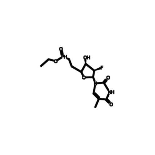 CCO[PH](=O)CCC1OC(n2cc(C)c(=O)[nH]c2=O)[C@H](F)[C@@H]1O